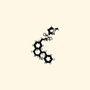 Cn1ccc(S(=O)(=O)NCc2ccc3c(c2)C(Cc2ccccc2)C(N)CC3)n1